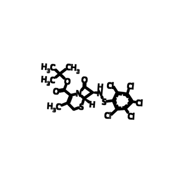 CC1=C(C(=O)OC(C)(C)C)N2C(=O)[C@@H](NSc3c(Cl)c(Cl)c(Cl)c(Cl)c3Cl)[C@@H]2SC1